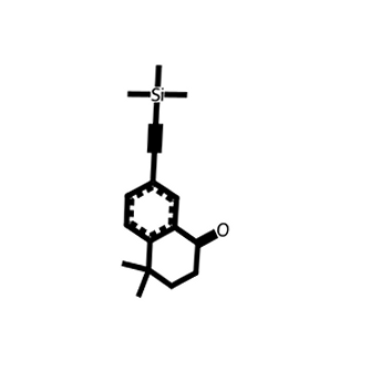 CC1(C)CCC(=O)c2cc(C#C[Si](C)(C)C)ccc21